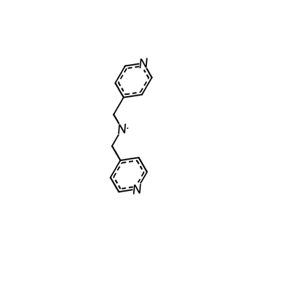 c1cc(C[N]Cc2ccncc2)ccn1